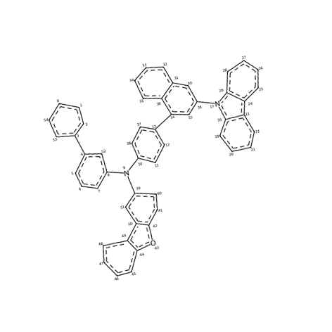 c1ccc(-c2cccc(N(c3ccc(-c4cc(-n5c6ccccc6c6ccccc65)cc5ccccc45)cc3)c3ccc4oc5ccccc5c4c3)c2)cc1